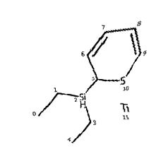 CC[SiH](CC)C1C=CC=CS1.[Ti]